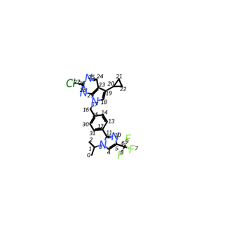 CC(C)n1cc(C(F)(F)F)nc1-c1ccc(Cn2cc(C3CC3)c3cnc(Cl)nc32)cc1